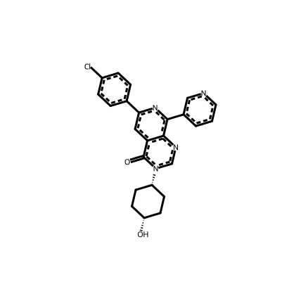 O=c1c2cc(-c3ccc(Cl)cc3)nc(-c3cccnc3)c2ncn1[C@H]1CC[C@@H](O)CC1